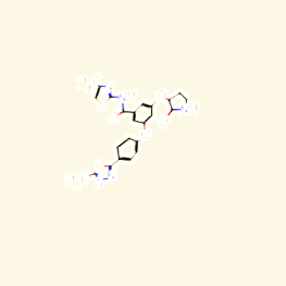 Cc1csc(NC(=O)c2cc(Oc3ccc(-c4nnc(C)o4)cc3)cc(OC3CCNC3=O)c2)n1